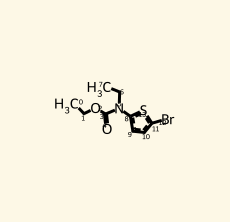 CCOC(=O)N(CC)c1ccc(Br)s1